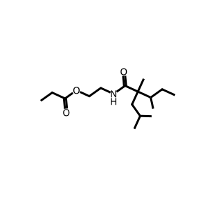 CCC(=O)OCCNC(=O)C(C)(CC(C)C)C(C)CC